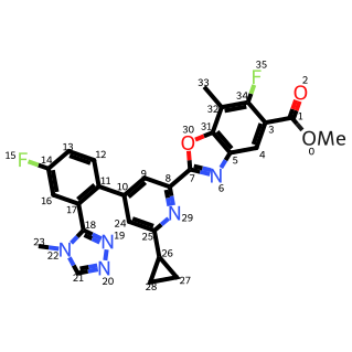 COC(=O)c1cc2nc(-c3cc(-c4ccc(F)cc4-c4nncn4C)cc(C4CC4)n3)oc2c(C)c1F